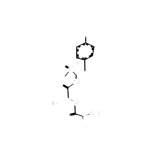 CC[C@H](C)[C@H](NC(C)=O)C(=O)N[C@H](C(=O)N[C@@H](Cc1ccc(O)cc1)P(=O)(O)O)[C@@H](C)CC